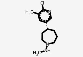 CNN1CCC[C@@H](c2cnc(Cl)c(C)c2)CC1